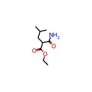 CCOC(=O)C(CC(C)C)C(N)=O